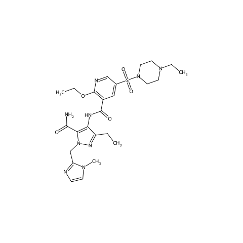 CCOc1ncc(S(=O)(=O)N2CCN(CC)CC2)cc1C(=O)Nc1c(CC)nn(Cc2nccn2C)c1C(N)=O